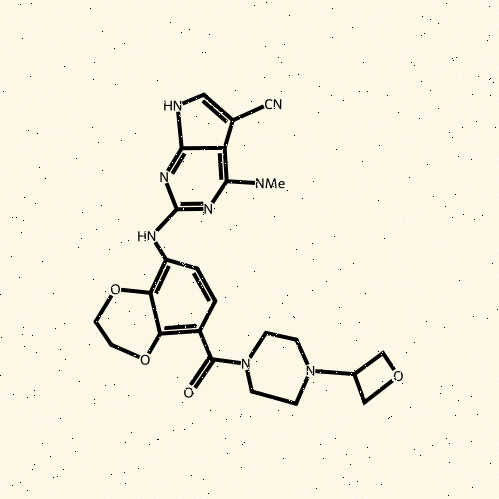 CNc1nc(Nc2ccc(C(=O)N3CCN(C4COC4)CC3)c3c2OCCO3)nc2[nH]cc(C#N)c12